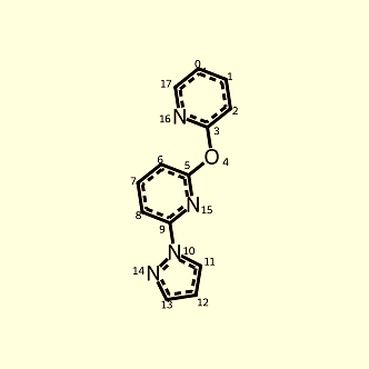 [c]1ccc(Oc2cccc(-n3cccn3)n2)nc1